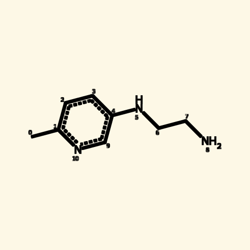 Cc1ccc(NCCN)cn1